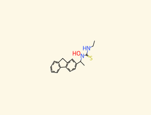 CCNC(=S)N(O)C(C)c1ccc2c(c1)Cc1ccccc1-2